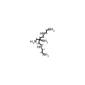 NCCNCCC(N)(CN)CCNCCN